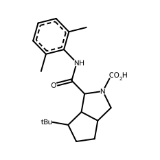 Cc1cccc(C)c1NC(=O)C1C2C(CCC2C(C)(C)C)CN1C(=O)O